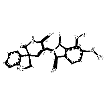 CCC1(c2ccccc2)C=C(N2C(=O)c3ccc(OC)c(OC)c3C2=O)C(=O)NC1=O